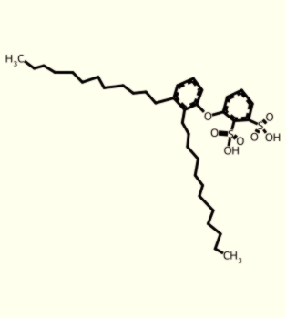 CCCCCCCCCCCCc1cccc(Oc2cccc(S(=O)(=O)O)c2S(=O)(=O)O)c1CCCCCCCCCCCC